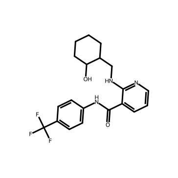 O=C(Nc1ccc(C(F)(F)F)cc1)c1cccnc1NCC1CCCCC1O